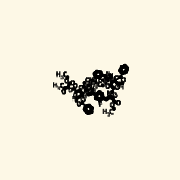 CCOC(=O)c1oc([C@@H]2O[C@@H]3CO[C@H](c4ccccc4)O[C@@H]3[C@H](n3cc(-c4cccc(F)c4)nn3)C2O[Si](CC)(CC)CC)nc1Cc1ccc(-c2cn([C@@H]3C(O[Si](CC)(CC)CC)[C@H](C(=O)OC(C(C)=O)C(=O)OCC)O[C@@H]4CO[C@H](c5ccccc5)O[C@H]34)nn2)cc1F